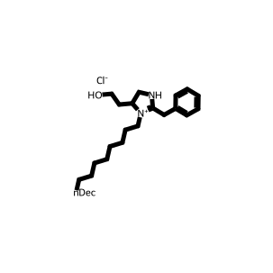 CCCCCCCCCCCCCCCCCC[N+]1=C(Cc2ccccc2)NCC1CCO.[Cl-]